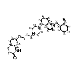 O=C1CCc2ccc(OCCCN3CCN(c4cccc5c4ccn5Cc4ccccc4F)CC3)cc2N1